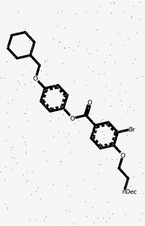 CCCCCCCCCCCCOc1ccc(C(=O)Oc2ccc(OCC3CC[CH]CC3)cc2)cc1Br